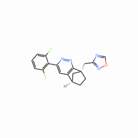 Fc1cccc(F)c1-c1cc2c(nn1)[C@@]1(Cc3ncon3)CC[C@@H]2C1